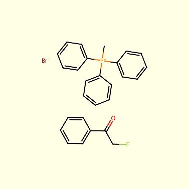 C[P+](c1ccccc1)(c1ccccc1)c1ccccc1.O=C(CF)c1ccccc1.[Br-]